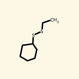 CCSSC1CCCCC1